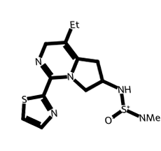 CCC1=C2CC(N[S+]([O-])NC)CN2C(c2nccs2)=NC1